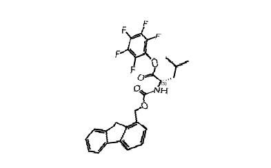 CC(C)C[C@H](NC(=O)OCc1cccc2c1Cc1ccccc1-2)C(=O)Oc1c(F)c(F)c(F)c(F)c1F